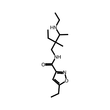 CCNC(C)C(C)(CC)CNC(=O)c1cc(CC)on1